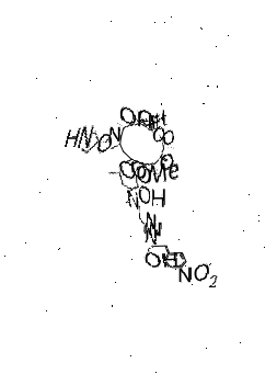 CC[C@H]1OC(=O)[C@H](C)C(=O)[C@H](C)[C@@H](O[C@@H]2O[C@H](C)C[C@H](N(C)CCc3cn(C(CO)Cc4ccc([N+](=O)[O-])cc4)nn3)[C@H]2O)[C@](C)(OC)C[C@@H](C)/C(=N\O[C@@H]2CCNC2)[C@H](C)[C@@H](O)[C@]1(C)O